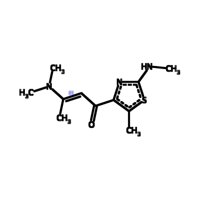 CNc1nc(C(=O)/C=C(\C)N(C)C)c(C)s1